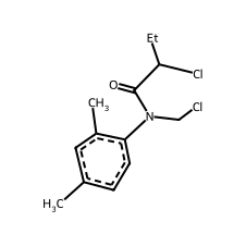 CCC(Cl)C(=O)N(CCl)c1ccc(C)cc1C